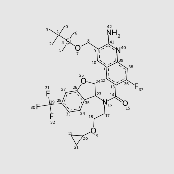 CC(C)(C)[Si](C)(C)OCc1cc2cc(C(=O)N(CCOC3CC3)C3COc4cc(C(F)(F)F)ccc43)c(F)cc2nc1N